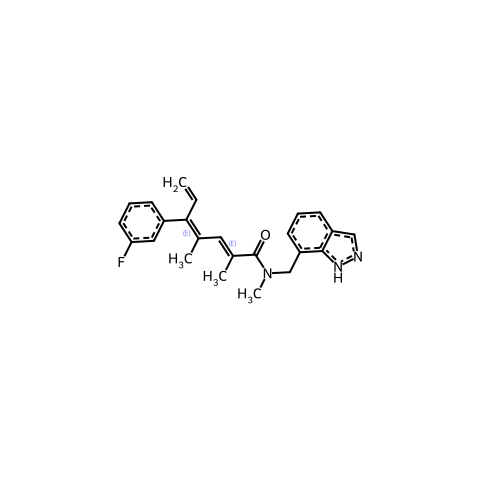 C=C/C(=C(C)\C=C(/C)C(=O)N(C)Cc1cccc2cn[nH]c12)c1cccc(F)c1